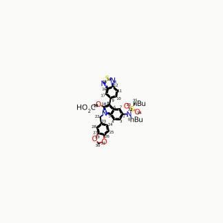 CCCCN(c1ccc2c(c1)c(-c1ccc3nsnc3c1)c(OC(=O)O)n2Cc1ccc2c(c1)OCO2)S(=O)(=O)CCCC